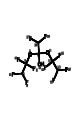 OC(OC(F)(F)C(F)F)(OC(F)(F)C(F)F)C(F)F